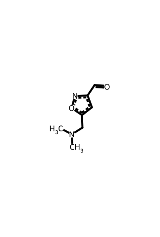 CN(C)Cc1cc(C=O)no1